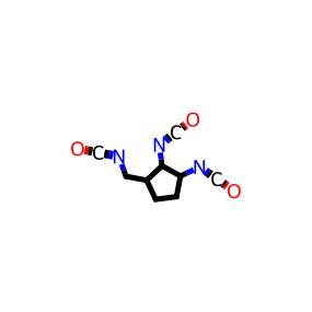 O=C=NCC1CCC(N=C=O)C1N=C=O